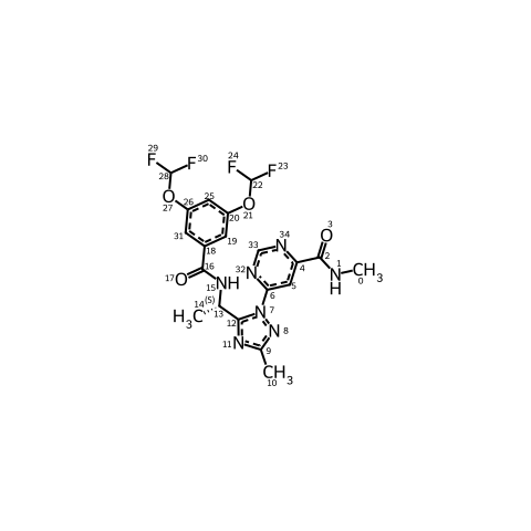 CNC(=O)c1cc(-n2nc(C)nc2[C@H](C)NC(=O)c2cc(OC(F)F)cc(OC(F)F)c2)ncn1